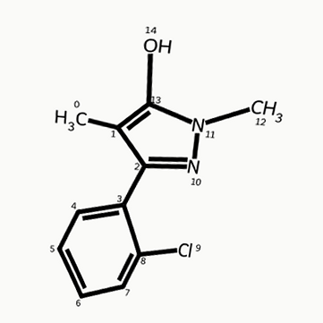 Cc1c(-c2ccccc2Cl)nn(C)c1O